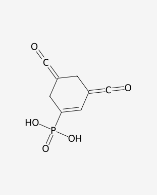 O=C=C1C=C(P(=O)(O)O)CC(=C=O)C1